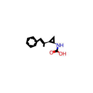 C/C(=C\c1ccccc1)[C@H]1C[C@@H]1NC(=O)O